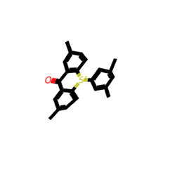 Cc1cc(C)cc(-[s+]2c3ccc(C)cc3c(=O)c3cc(C)ccc32)c1